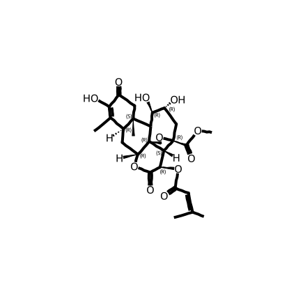 COC(=O)[C@]12C[C@@H](O)[C@H](O)C3[C@]4(CO1)[C@H]2[C@@H](OC(=O)C=C(C)C)C(=O)O[C@@H]4C[C@H]1C(C)=C(O)C(=O)C[C@]31C